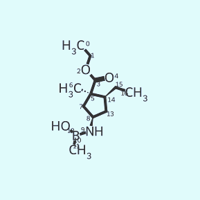 CCOC(=O)[C@]1(C)C[C@H](NB(C)O)C[C@@H]1CC